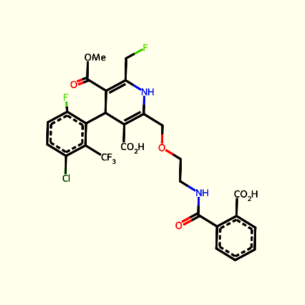 COC(=O)C1=C(CF)NC(COCCNC(=O)c2ccccc2C(=O)O)=C(C(=O)O)C1c1c(F)ccc(Cl)c1C(F)(F)F